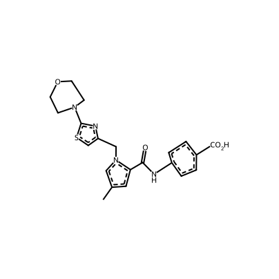 Cc1cc(C(=O)Nc2ccc(C(=O)O)cc2)n(Cc2csc(N3CCOCC3)n2)c1